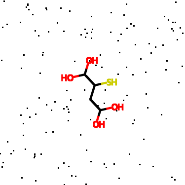 OC(O)CC(S)C(O)O